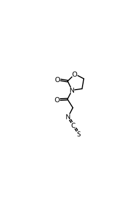 O=C(CN=C=S)N1CCOC1=O